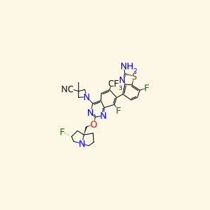 CC1(C#N)CN(c2nc(OC[C@@]34CCCN3C[C@H](F)C4)nc3c(F)c(-c4ccc(F)c5sc(N)nc45)c(C(F)(F)F)cc23)C1